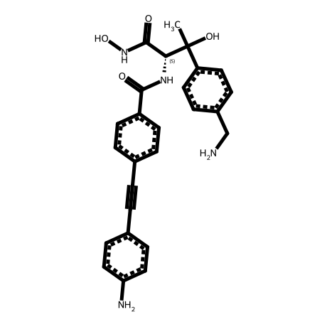 CC(O)(c1ccc(CN)cc1)[C@H](NC(=O)c1ccc(C#Cc2ccc(N)cc2)cc1)C(=O)NO